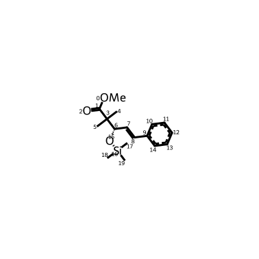 COC(=O)C(C)(C)[C@H](/C=C/c1ccccc1)O[Si](C)(C)C